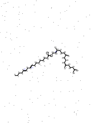 CCCC/C=C/C/C=C/CCCCCCCC(=O)OC/C=C(\C)CCCC(C)CCCC(C)CCCC(C)C